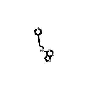 C(#Cc1ccncc1)CCNc1ncnc2sccc12